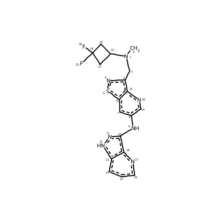 CN(Cc1nsc2cc(Nc3n[nH]c4cccnc34)cnc12)C1CC(F)(F)C1